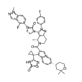 C[C@H]1c2c(nn(-c3ccc(F)cc3)c2-n2ccn(-c3ccc4c(cnn4C)c3F)c2=O)CCN1C(=O)c1cn2cc([C@@H]3CCOC(C)(C)C3)ccc2c1C1(c2noc(=O)[nH]2)CC1